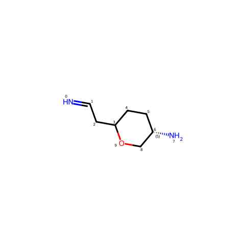 N=CCC1CC[C@H](N)CO1